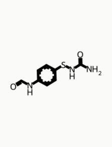 NC(=O)NSc1ccc(NC=O)cc1